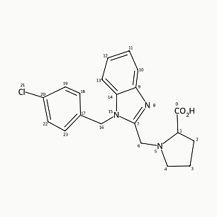 O=C(O)C1CCCN1Cc1nc2ccccc2n1Cc1ccc(Cl)cc1